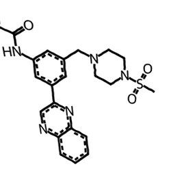 C=CC(=O)Nc1cc(CN2CCN(S(C)(=O)=O)CC2)cc(-c2cnc3ccccc3n2)c1